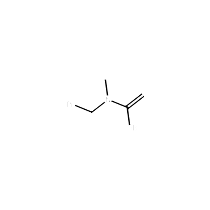 C=C(CCCC)N(C)CC(C)C